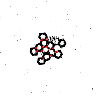 Nc1c(-c2ccccc2)cc(-c2c(-c3ccccc3)cccc2N(c2ccccc2)c2ccccc2)c(-c2c(-c3ccccc3)cccc2N(c2ccccc2)c2ccccc2)c1N